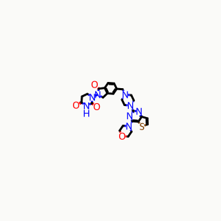 O=C1CCN(N2Cc3cc(CN4CCN(c5nc(N6CCOCC6)c6sccc6n5)CC4)ccc3C2=O)C(=O)N1